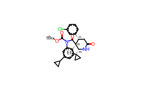 CCC1([C@H]2NC(=O)C[C@@H](c3cccc(Cl)c3)[C@]23C(=O)N(C(=O)OC(C)(C)C)c2cc(C4CC4)ccc23)CC1